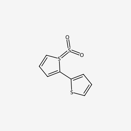 O=S(=O)=S1C=CC=C1c1cccs1